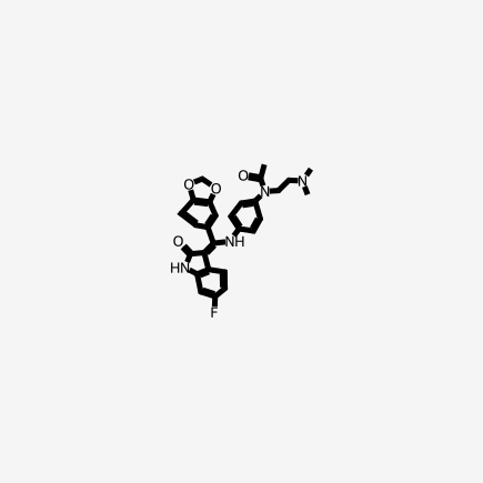 CC(=O)N(CCN(C)C)c1ccc(NC(=C2C(=O)Nc3cc(F)ccc32)c2ccc3c(c2)OCO3)cc1